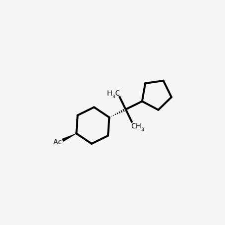 CC(=O)[C@H]1CC[C@H](C(C)(C)C2CCCC2)CC1